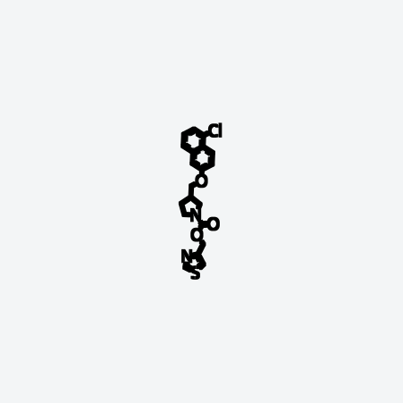 O=C(OCc1cscn1)N1CCC(COc2ccc3c(Cl)cccc3c2)C1